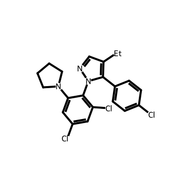 CCc1cnn(-c2c(Cl)cc(Cl)cc2N2CCCC2)c1-c1ccc(Cl)cc1